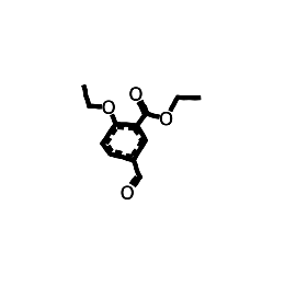 CCOC(=O)c1cc(C=O)ccc1OCC